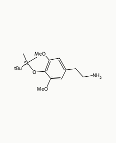 COc1cc(CCN)cc(OC)c1O[Si](C)(C)C(C)(C)C